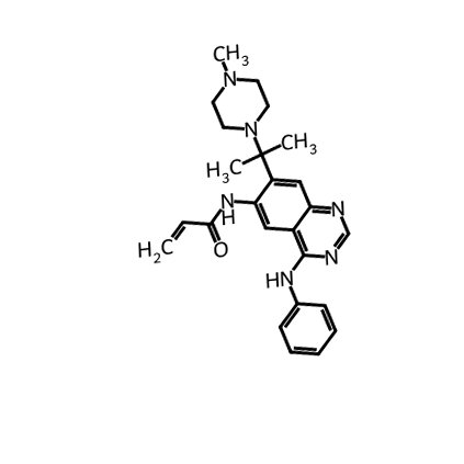 C=CC(=O)Nc1cc2c(Nc3ccccc3)ncnc2cc1C(C)(C)N1CCN(C)CC1